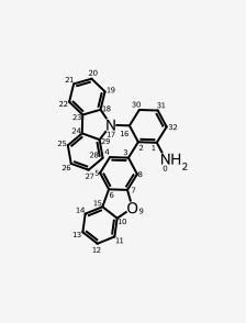 NC1=C(c2ccc3c(c2)oc2ccccc23)C(n2c3ccccc3c3ccccc32)CC=C1